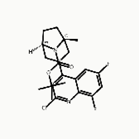 CC(C)(C)OC(=O)N1[C@@H]2CC[C@]1(C)CN(c1nc(Cl)nc3c(F)cc(F)cc13)C2